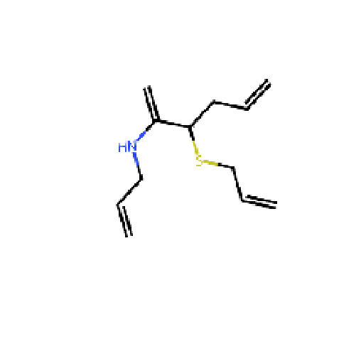 C=CCNC(=C)[C](CC=C)SCC=C